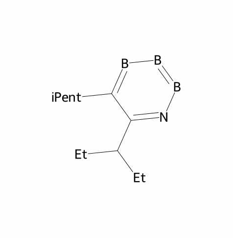 CCCC(C)c1bbbnc1C(CC)CC